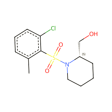 Cc1cccc(Cl)c1S(=O)(=O)N1CCCC[C@H]1CO